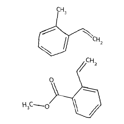 C=Cc1ccccc1C.C=Cc1ccccc1C(=O)OC